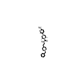 C[C@@H]1CN(c2ccc(C#N)nn2)C[C@H](C)N1C(=O)NCCC1CCN(Cc2ccccc2)CC1